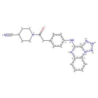 N#CC1CCN(C(=O)Cc2ccc(Nc3nc4ccccc4n4nnnc34)cc2)CC1